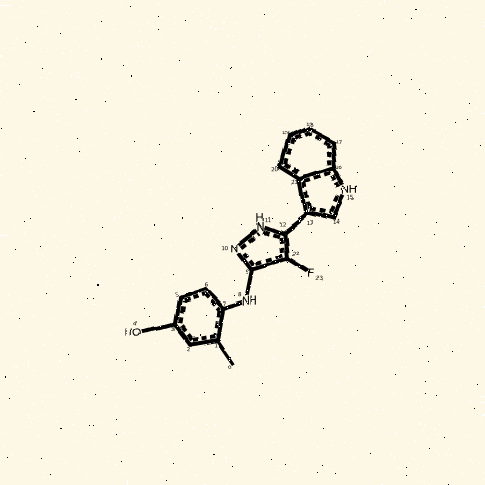 Cc1cc(O)ccc1Nc1n[nH]c(-c2c[nH]c3ccccc23)c1F